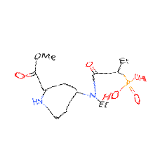 CCC(C(=O)N(CC)C1CCNC(C(=O)OC)C1)P(=O)(O)O